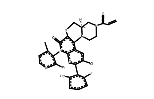 C=CC(=O)N1CCN2c3c(c(=O)n(-c4c(C)ccnc4C(C)C)c4nc(-c5c(O)cccc5F)c(Cl)cc34)OC[C@H]2C1